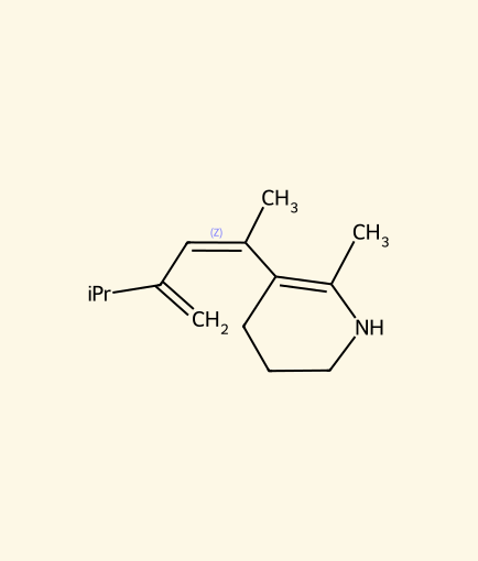 C=C(/C=C(/C)C1=C(C)NCCC1)C(C)C